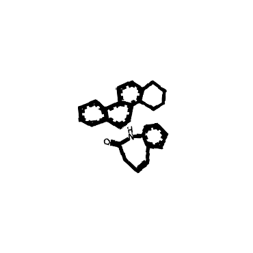 O=C1CC=Cc2ccccc2N1.c1ccc2c(c1)ccc1c3c(ccc12)CCCC3